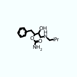 CC(C)CNCC(O)C(Cc1ccccc1)OC(N)=O